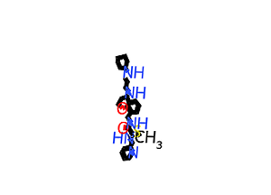 CS[C@H](NCc1ccccn1)C(=O)NCc1cccc2c1OCCC2NCCCNC1CCCCC1